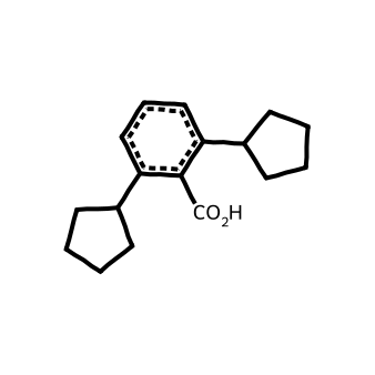 O=C(O)c1c(C2CCCC2)cccc1C1CCCC1